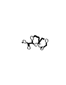 COC(=O)C1OCCC2(COCOC2)O1